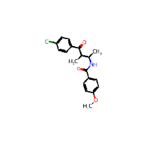 COc1ccc(C(=O)NC(C)C(C)C(=O)c2ccc(Cl)cc2)cc1